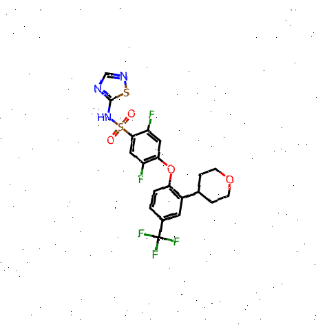 O=S(=O)(Nc1ncns1)c1cc(F)c(Oc2ccc(C(F)(F)F)cc2C2CCOCC2)cc1F